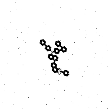 c1ccc(-c2ccc(N(c3ccc(-c4ccccc4-c4ccccc4)cc3)c3cccc4c(-c5ccc6ccc7oc(-c8ccccc8)nc7c6c5)cccc34)cc2)cc1